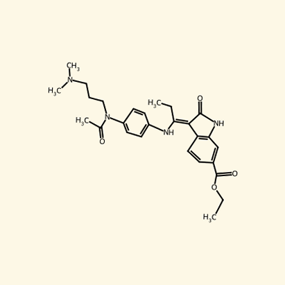 CCOC(=O)c1ccc2c(c1)NC(=O)/C2=C(\CC)Nc1ccc(N(CCCN(C)C)C(C)=O)cc1